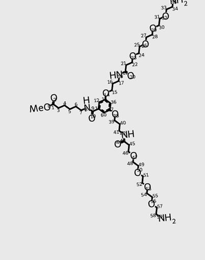 COC(=O)CCCCCNC(=O)c1cc(OCCCNC(=O)CCOCCOCCOCCOCCN)cc(OCCCNC(=O)CCOCCOCCOCCOCCN)c1